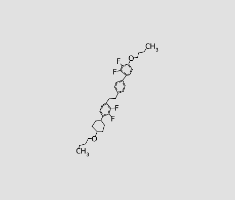 CCCCOc1ccc(-c2ccc(CCc3ccc(C4CCC(OCCCC)CC4)c(F)c3F)cc2)c(F)c1F